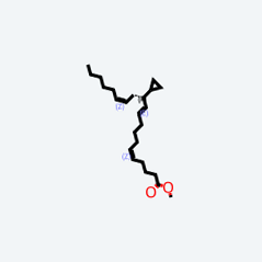 CCCCC/C=C\C[C@@H](/C=C/CCC/C=C\CCCC(=O)OC)C1CC1